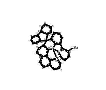 CC(C)(C)c1ccc[n+]2c1-c1cccc3c1[N+]21c2c(ccc4ccc5ccc[n+]1c5c24)C31c2ccccc2-c2ccccc21